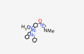 CNC1CCN(C(=O)c2ccc3c(c2)nc(-c2cc4ccccc4n2Cc2ccccc2)n3C)C1